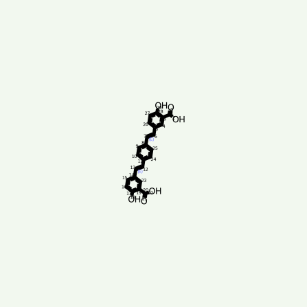 O=C(O)c1cc(/C=C/c2ccc(/C=C/c3ccc(O)c(C(=O)O)c3)cc2)ccc1O